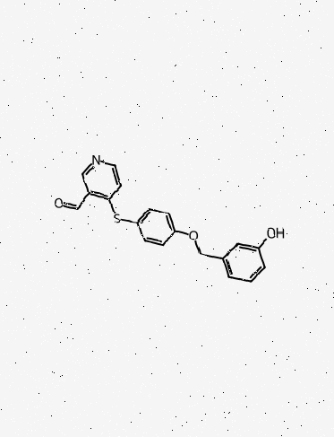 O=Cc1cnccc1Sc1ccc(OCc2cccc(O)c2)cc1